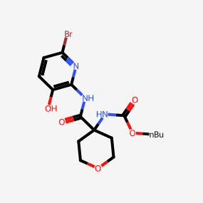 CCCCOC(=O)NC1(C(=O)Nc2nc(Br)ccc2O)CCOCC1